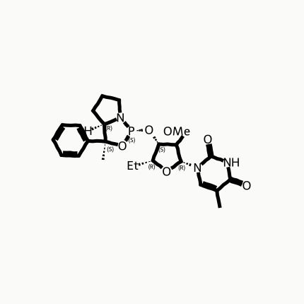 CC[C@H]1O[C@@H](n2cc(C)c(=O)[nH]c2=O)C(OC)[C@H]1O[P@]1O[C@@](C)(c2ccccc2)[C@H]2CCCN21